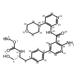 CC(C)(C)OC(=O)N[C@@H](CO)Cc1ccc(-c2cnc(N)c(C(=O)Nc3cnccc3N3CCOCC3)n2)cc1